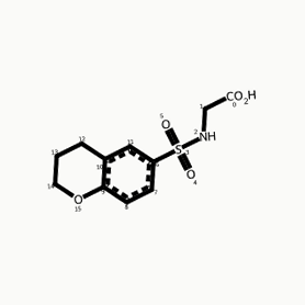 O=C(O)CNS(=O)(=O)c1ccc2c(c1)CCCO2